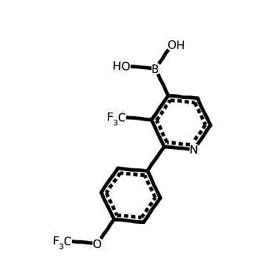 OB(O)c1ccnc(-c2ccc(OC(F)(F)F)cc2)c1C(F)(F)F